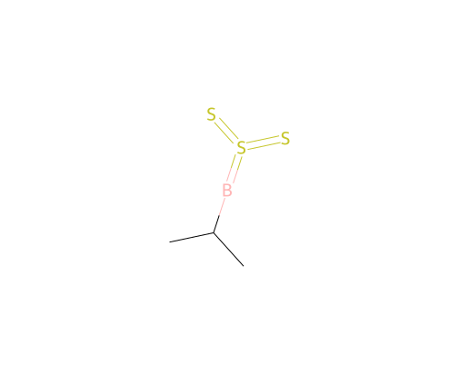 CC(C)B=S(=S)=S